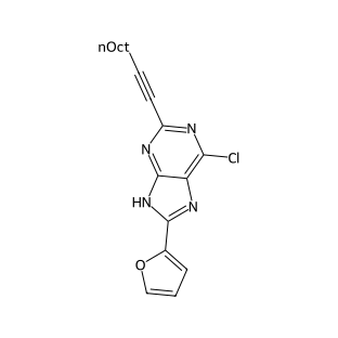 CCCCCCCCC#Cc1nc(Cl)c2nc(-c3ccco3)[nH]c2n1